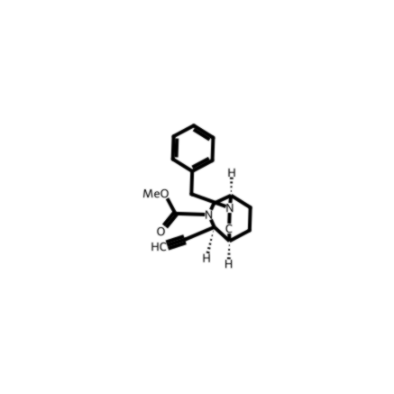 C#C[C@@H]1[C@@H]2CC[C@H](CN1C(=O)OC)N(Cc1ccccc1)C2